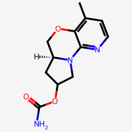 Cc1ccnc2c1OC[C@@H]1CC(OC(N)=O)CN21